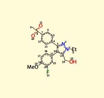 CCn1nc(-c2ccc(S(C)(=O)=O)cc2)c(-c2ccc(OC)c(F)c2)c1CO